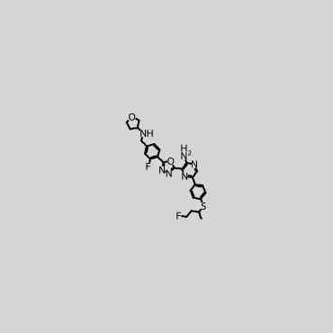 CC(CCF)Sc1ccc(-c2cnc(N)c(-c3nnc(-c4ccc(CNC5CCOC5)cc4F)o3)n2)cc1